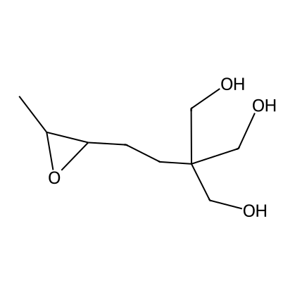 CC1OC1CCC(CO)(CO)CO